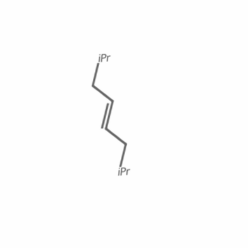 CC(C)C/C=C/CC(C)C